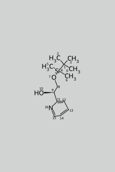 CC(C)(C)[Si](C)(C)OC[C@H](O)c1ccccn1